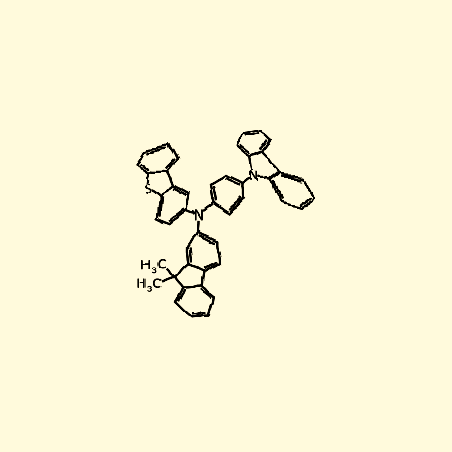 CC1(C)c2ccccc2-c2ccc(N(c3ccc(-n4c5ccccc5c5ccccc54)cc3)c3ccc4sc5ccccc5c4c3)cc21